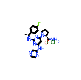 C[C@H](Nc1nc(Nc2cnccn2)cc(N2CCC[C@H]2C(N)=O)n1)c1ccc(F)cc1.Cl